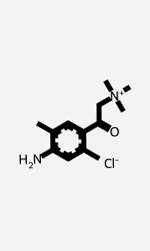 Cc1cc(C(=O)C[N+](C)(C)C)c(C)cc1N.[Cl-]